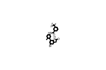 Cc1ccc(NC(=O)c2cccc(C(F)(F)F)c2)cc1-c1cc(Br)cc2c1NC(=O)C2